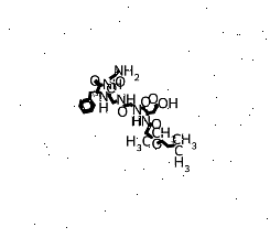 CC(C)CCOC(C)(C)CC(=O)NC(CC(=O)O)C(=O)NCC(=O)NCC(=O)N[C@@H](Cc1ccccc1)C(=O)NCC(N)=O